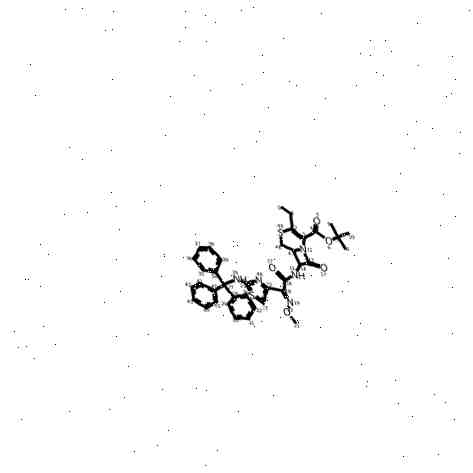 CCC1=C(C(=O)OC(C)(C)C)N2C(=O)C(NC(=O)C(=NOC)c3csc(NC(c4ccccc4)(c4ccccc4)c4ccccc4)n3)C2CS1